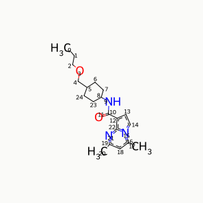 CCCOCC1CCC(NC(=O)c2ccn3c(C)cc(C)nc23)CC1